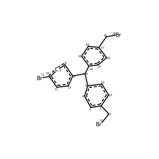 BrCc1ccc(C(c2ccc(Br)cc2)c2ccc(CBr)cc2)cc1